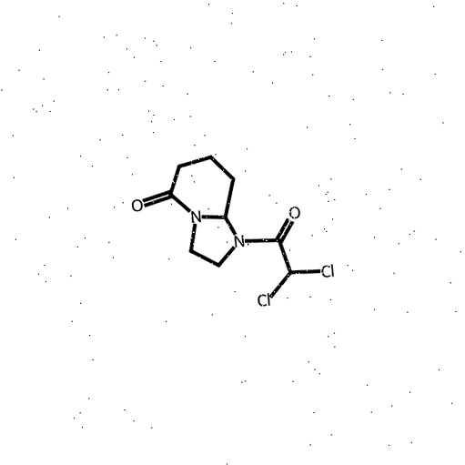 O=C1CCCC2N1CCN2C(=O)C(Cl)Cl